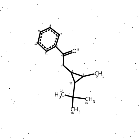 CC1C(CC(=O)c2ccccc2)C1C(C)(C)C